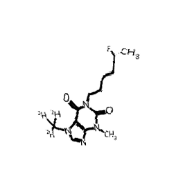 [2H]C([2H])([2H])n1cnc2c1c(=O)n(CCCC[C@@H](C)F)c(=O)n2C